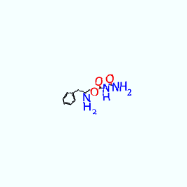 NC(=O)NC(=O)OC[C@H](N)Cc1ccccc1